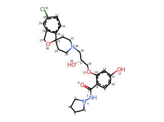 O=C(NN1CCCC1)c1ccc(O)cc1OC[C@H](O)CN1CCC2(CC1)OCc1cc(Cl)ccc12